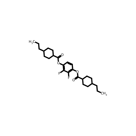 CCCC1CCC(C(=O)Oc2ccc(OC(=O)C3CCC(CCC)CC3)c(F)c2F)CC1